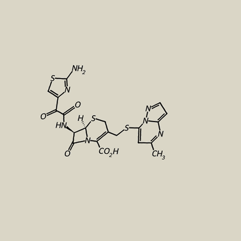 Cc1cc(SCC2=C(C(=O)O)N3C(=O)[C@@H](NC(=O)C(=O)c4csc(N)n4)[C@H]3SC2)n2nccc2n1